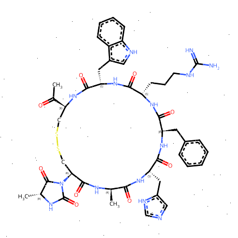 CC(=O)[C@@H]1CSSC[C@H](N2C(=O)N[C@H](C)C2=O)C(=O)N[C@H](C)C(=O)N[C@@H](Cc2cnc[nH]2)C(=O)N[C@H](Cc2ccccc2)C(=O)N[C@@H](CCCNC(=N)N)C(=O)N[C@@H](Cc2c[nH]c3ccccc23)C(=O)N1